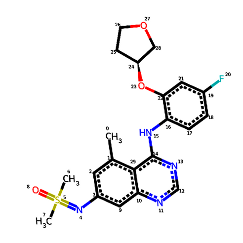 Cc1cc(N=S(C)(C)=O)cc2ncnc(Nc3ccc(F)cc3O[C@H]3CCOC3)c12